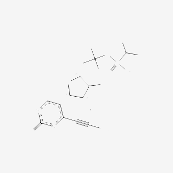 CC#Cc1[nH]c(=O)ncc1[C@@H]1O[C@H](CC(C)(CC)OP(=O)(O)C(O)CC)C(O)[C@@H]1O